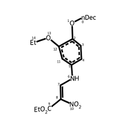 CCCCCCCCCCOc1ccc(NC=C(C(=O)OCC)[N+](=O)[O-])cc1OCC